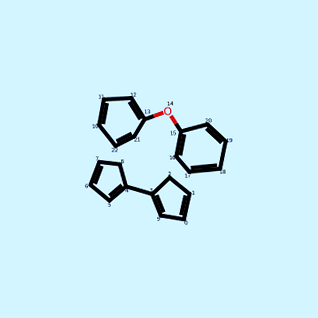 C1=CCC(C2=CC=CC2)=C1.c1ccc(Oc2ccccc2)cc1